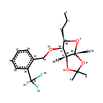 CCC[C@H]1O[C@@H]2OC(C)(C)O[C@@H]2[C@H]1OCc1ccccc1C(F)(F)F